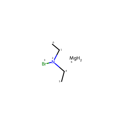 CCN(Br)CC.[MgH2]